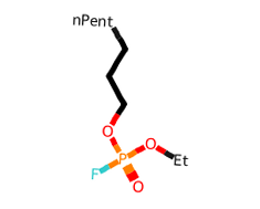 CCCCCCCCOP(=O)(F)OCC